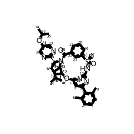 Cc1cccc(C)c1-c1cc2nc(n1)NS(=O)(=O)c1cccc(c1)C(=O)N1[C@@H](c3ncc(OC(C)C)cn3)CC[C@H](O2)[C@H]1CC(C)C